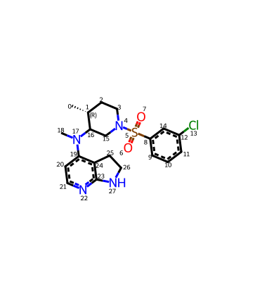 C[C@@H]1CCN(S(=O)(=O)c2cccc(Cl)c2)CC1N(C)c1ccnc2c1CCN2